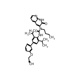 C#CCOc1cccc(-c2cc(C(C)C)c(NC(=O)N(CCCC)c3cc4cccnc4[nH]c3=O)c(C(C)C)c2)c1